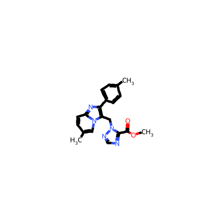 COC(=O)c1ncnn1Cc1c(-c2ccc(C)cc2)nc2ccc(C)cn12